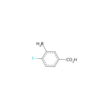 Bc1cc(C(=O)O)ccc1F